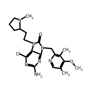 COc1c(C)cnc(Cn2c(=O)n(CCC3CCCN3C)c3c(Cl)nc(N)nc32)c1C